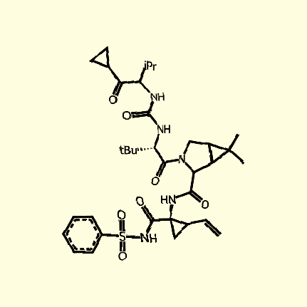 C=CC1C[C@]1(NC(=O)C1C2C(CN1C(=O)[C@@H](NC(=O)NC(C(=O)C1CC1)C(C)C)C(C)(C)C)C2(C)C)C(=O)NS(=O)(=O)c1ccccc1